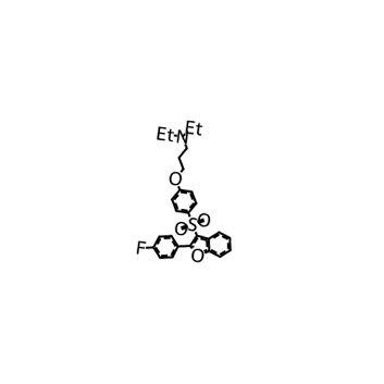 CCN(CC)CCCOc1ccc(S(=O)(=O)c2c(-c3ccc(F)cc3)oc3ccccc23)cc1